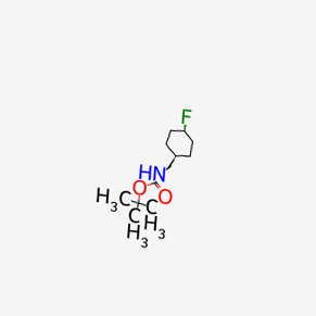 CC(C)(C)OC(=O)NC[C@H]1CC[C@@H](F)CC1